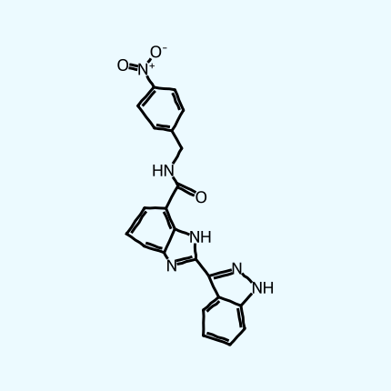 O=C(NCc1ccc([N+](=O)[O-])cc1)c1cccc2nc(-c3n[nH]c4ccccc34)[nH]c12